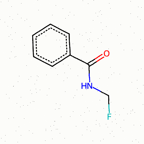 O=C(NCF)c1ccccc1